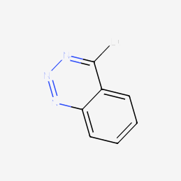 CCc1nnnc2ccccc12